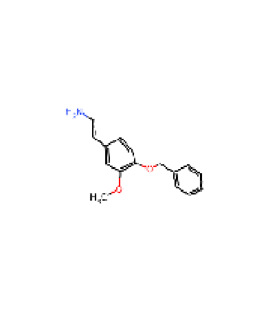 COc1cc(/C=C/N)ccc1OCc1ccccc1